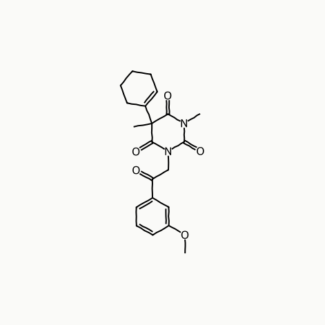 COc1cccc(C(=O)CN2C(=O)N(C)C(=O)C(C)(C3=CCCCC3)C2=O)c1